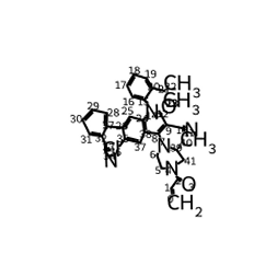 C=CC(=O)N1CCN(c2c(C#N)c(=O)n(-c3ccccc3C(C)C)c3cc(-c4ccccc4C#N)c(Cl)cc23)[C@@H](C)C1